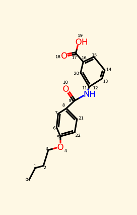 CCCCOc1ccc(C(=O)Nc2cccc(C(=O)O)c2)cc1